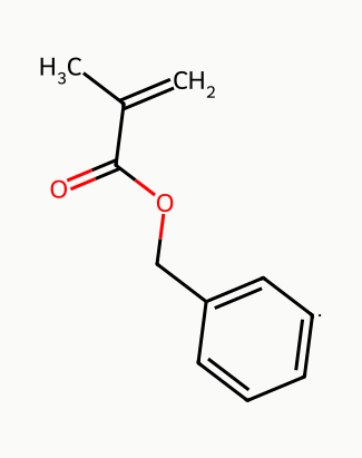 C=C(C)C(=O)OCc1c[c]ccc1